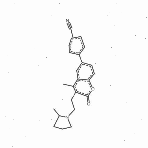 Cc1c(CCN2CCCC2C)c(=O)oc2ccc(-c3ccc(C#N)cc3)cc12